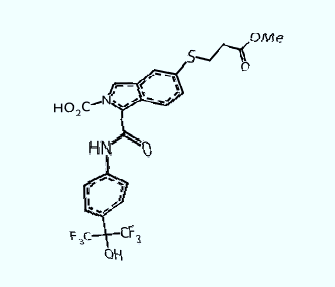 COC(=O)CCSc1ccc2c(C(=O)Nc3ccc(C(O)(C(F)(F)F)C(F)(F)F)cc3)n(C(=O)O)cc2c1